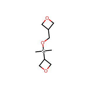 C[Si](C)(OCC1COC1)C1COC1